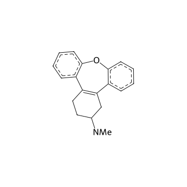 CNC1CCC2=C(C1)c1ccccc1Oc1ccccc12